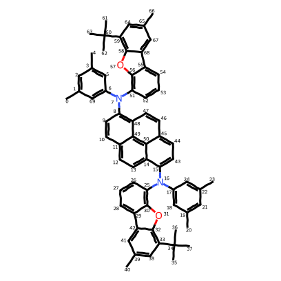 Cc1cc(C)cc(N(c2ccc3ccc4c(N(c5cc(C)cc(C)c5)c5cccc6c5oc5c(C(C)(C)C)cc(C)cc56)ccc5ccc2c3c54)c2cccc3c2oc2c(C(C)(C)C)cc(C)cc23)c1